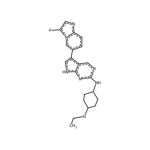 CCOC1CCC(Nc2ncc3c(-c4ccc5ncc(F)n5c4)c[nH]c3n2)CC1